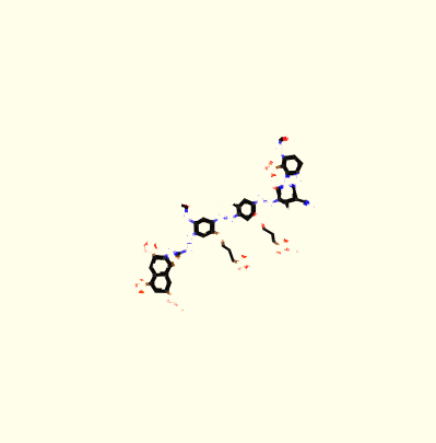 CC(=O)Nc1cc(N=Nc2cc(OCCCS(=O)(=O)O)c(N=Nc3c(C)c(C#N)c4nc5ccc(NC(C)=O)c(S(=O)(=O)O)c5n4c3O)cc2C)c(SCCCS(=O)(=O)O)cc1N=Nc1nc2c(S(=O)(=O)O)cc3c(S(=O)(=O)O)cc(S(=O)(=O)O)cc3c2s1